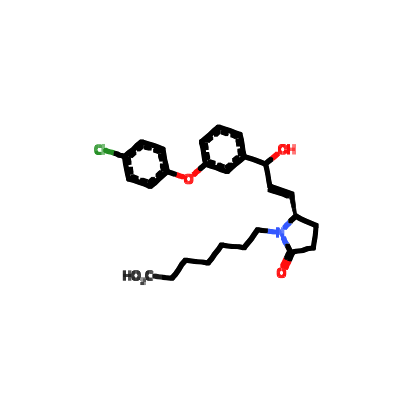 O=C(O)CCCCCCN1C(=O)CC[C@@H]1C=CC(O)c1cccc(Oc2ccc(Cl)cc2)c1